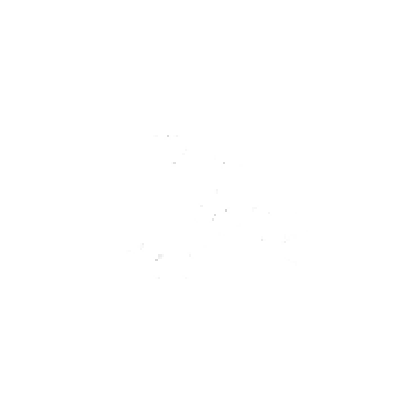 C=CC(=O)OC(C)COCC(CC)(COCC(C)OC(=O)C=C)OCC(C)OC(=O)C=C